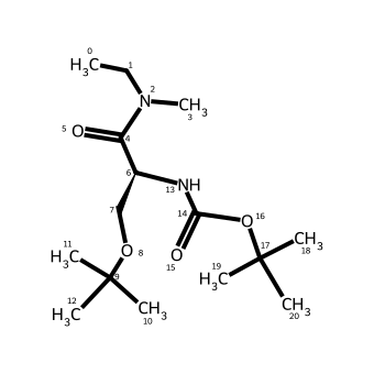 CCN(C)C(=O)[C@H](COC(C)(C)C)NC(=O)OC(C)(C)C